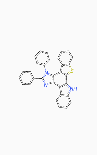 c1ccc(-c2nc3c4c5ccccc5[nH]c4c4sc5ccccc5c4c3n2-c2ccccc2)cc1